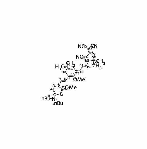 CCCCN(CCCC)c1ccc(C=CC2=C(OC)C(=CC=CC3=C(C#N)C(=C(C#N)C#N)OC3(C)C)CC(C)(C)C2)c(OC)c1